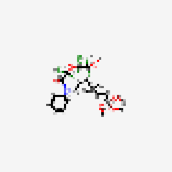 COC(F)(F)C(F)(F)OC(F)(F)C(=O)N(CCC[Si](C)(C)CC[Si](OC)(OC)OC)c1ccccc1